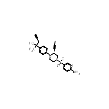 C#CCC(O)(c1ccc(N2CCN(S(=O)(=O)c3ccc(N)nc3)C[C@@H]2C#CC)cc1)C(F)(F)F